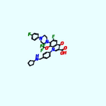 O=C(O)c1cn(-c2ccc(CNC3CCCC3)cc2)c2c(OC(F)(F)F)c(N3CCN(c4ccc(F)cc4)CC3)c(F)cc2c1=O